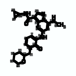 CNc1cc(Nc2cccn(CC3CCCCO3)c2=O)nc2c(C(=O)NC3CC3)cnn12